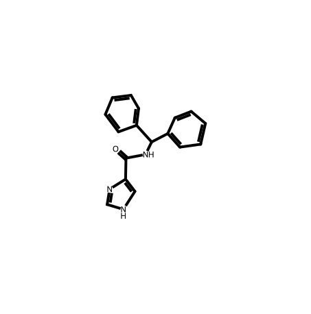 O=C(NC(c1ccccc1)c1ccccc1)c1c[nH]cn1